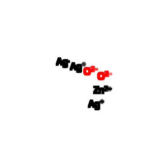 [Ag+].[Ag+].[Ag].[O-2].[O-2].[Zn+2]